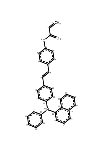 C=CC(=O)Oc1ccc(C=Cc2ccc(N(c3ccccc3)c3cccc4ccccc34)cc2)cc1